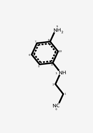 N#CCCNc1cccc(N)c1